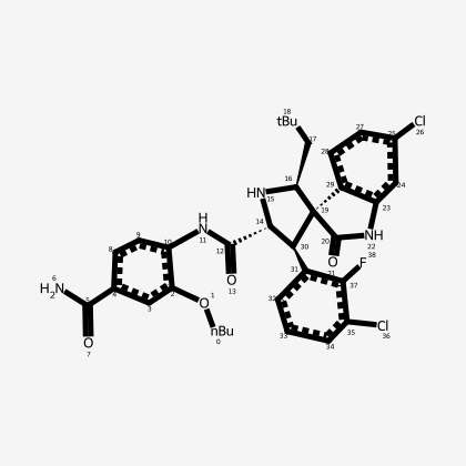 CCCCOc1cc(C(N)=O)ccc1NC(=O)[C@@H]1N[C@@H](CC(C)(C)C)[C@@]2(C(=O)Nc3cc(Cl)ccc32)[C@H]1c1cccc(Cl)c1F